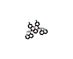 Cc1ccc(C(=O)Nc2cccc3cccnc23)c(N(c2ccccc2)c2cc(C)ccc2C(=O)Nc2cccc3cccnc23)c1